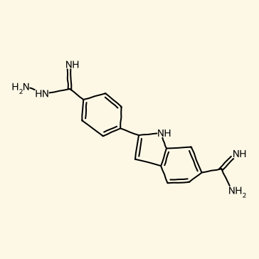 N=C(N)c1ccc2cc(-c3ccc(C(=N)NN)cc3)[nH]c2c1